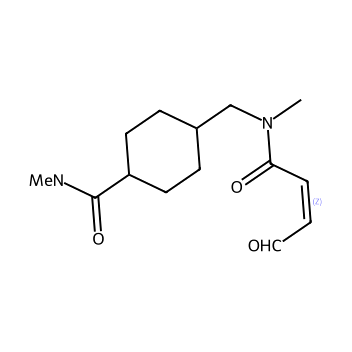 CNC(=O)C1CCC(CN(C)C(=O)/C=C\C=O)CC1